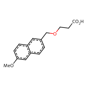 COc1ccc2cc(COCCC(=O)O)ccc2c1